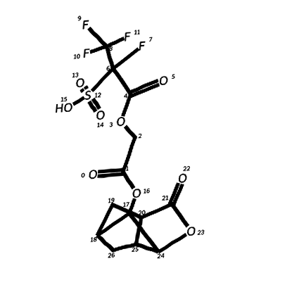 O=C(COC(=O)C(F)(C(F)(F)F)S(=O)(=O)O)OC1C2CC3C(=O)OC1C3C2